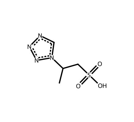 CC(CS(=O)(=O)O)n1cnnn1